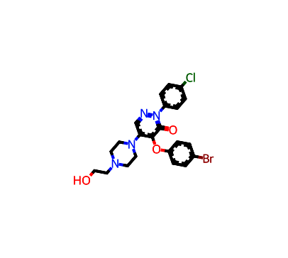 O=c1c(Oc2ccc(Br)cc2)c(N2CCN(CCO)CC2)cnn1-c1ccc(Cl)cc1